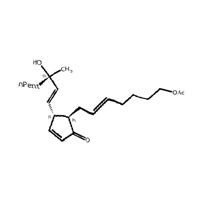 CCCCC[C@](C)(O)C=C[C@H]1C=CC(=O)[C@@H]1CC=CCCCCOC(C)=O